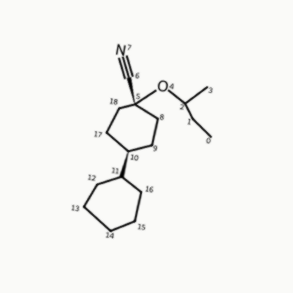 CCC(C)O[C@]1(C#N)CC[C@@H](C2CCCCC2)CC1